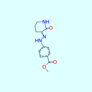 COC(=O)c1ccc(N/N=C2\CCCNC2=O)cc1